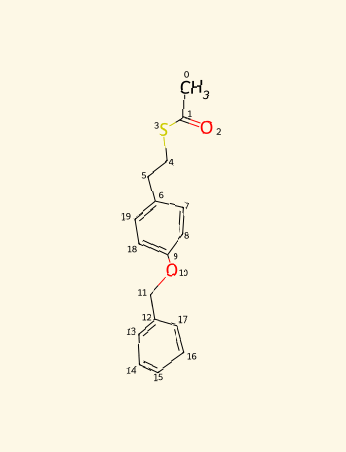 CC(=O)SCCc1ccc(OCc2ccccc2)cc1